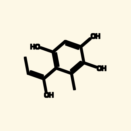 C/C=C(/O)c1c(O)cc(O)c(O)c1C